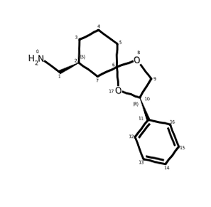 NC[C@H]1CCCC2(C1)OC[C@@H](c1ccccc1)O2